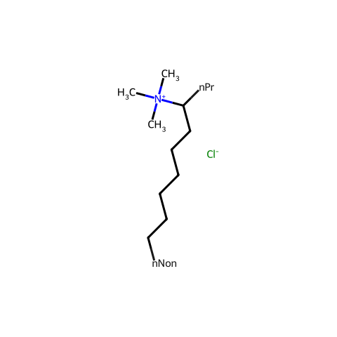 CCCCCCCCCCCCCCCC(CCC)[N+](C)(C)C.[Cl-]